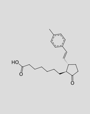 Cc1ccc(C=C[C@@H]2CCC(=O)[C@H]2CCCCCCC(=O)O)cc1